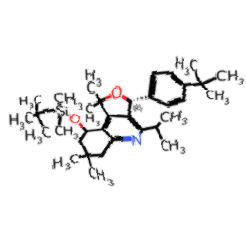 CC(C)c1nc2c(c3c1[C@@H](c1ccc(C(C)(C)C)cc1)OC3(C)C)C(O[Si](C)(C)C(C)(C)C)CC(C)(C)C2